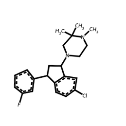 CN1CCN(C2CC(c3cccc(F)c3)c3ccc(Cl)cc32)CC1(C)C